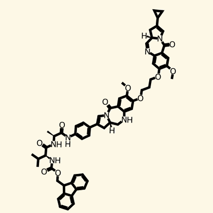 COc1cc2c(cc1OCCCOc1cc3c(cc1OC)C(=O)N1C=C(c4ccc(NC(=O)[C@H](C)NC(=O)[C@@H](NC(=O)OCC5c6ccccc6-c6ccccc65)C(C)C)cc4)C[C@H]1CN3)N=C[C@@H]1CC(C3CC3)=CN1C2=O